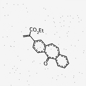 C=C(C(=O)OCC)c1ccc2c(=O)c3ccccc3ccc2c1